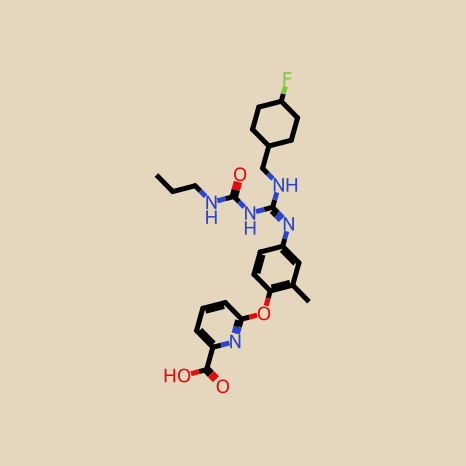 CCCNC(=O)N/C(=N\c1ccc(Oc2cccc(C(=O)O)n2)c(C)c1)NCC1CCC(F)CC1